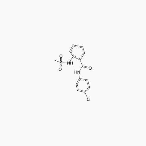 CS(=O)(=O)Nc1ccccc1C(=O)Nc1ccc(Cl)cc1